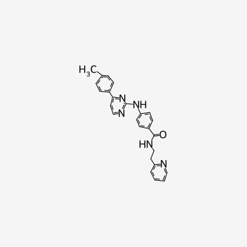 Cc1ccc(-c2ccnc(Nc3ccc(C(=O)NCCc4ccccn4)cc3)n2)cc1